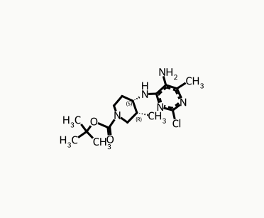 Cc1nc(Cl)nc(N[C@H]2CCN(C(=O)OC(C)(C)C)C[C@H]2C)c1N